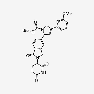 COc1cccc(C2=CC(c3ccc4c(c3)CN(C3CCC(=O)NC3=O)C4=O)N(C(=O)OC(C)(C)C)C2)n1